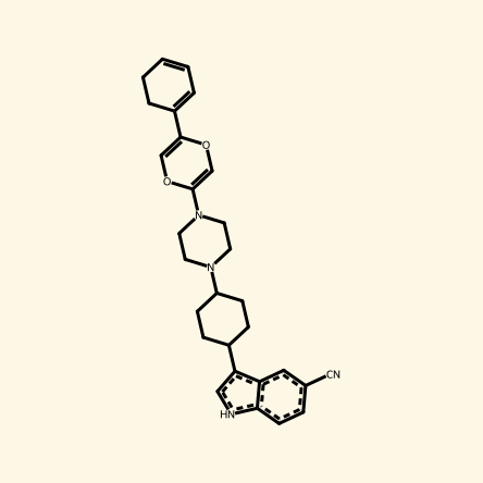 N#Cc1ccc2[nH]cc(C3CCC(N4CCN(C5=COC(C6=CC=CCC6)=CO5)CC4)CC3)c2c1